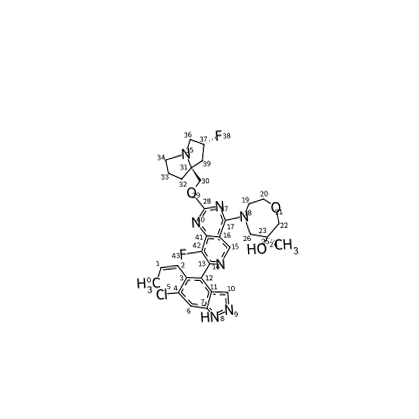 C/C=C\c1c(Cl)cc2[nH]ncc2c1-c1ncc2c(N3CCOC[C@@](C)(O)C3)nc(OC[C@@]34CCCN3C[C@H](F)C4)nc2c1F